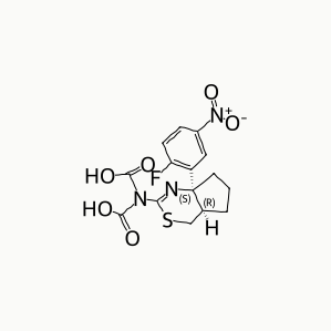 O=C(O)N(C(=O)O)C1=N[C@@]2(c3cc([N+](=O)[O-])ccc3F)CCC[C@H]2CS1